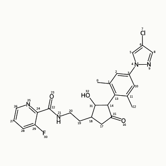 Cc1cc(-n2cc(Cl)cn2)cc(C)c1C1C(=O)CC(CCNC(=O)c2ncccc2F)C1O